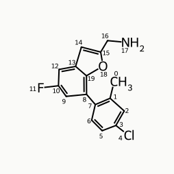 Cc1cc(Cl)ccc1-c1cc(F)cc2cc(CN)oc12